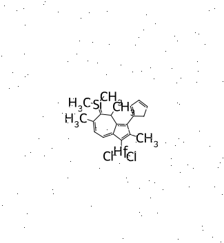 CC1=CC=C2C(=C(C3=CC=CC3)C(C)=[C]2[Hf]([Cl])[Cl])C(C)C1=[Si](C)C